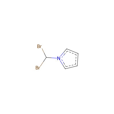 BrC(Br)n1cccc1